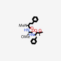 CN[C@@H](CCc1ccccc1)C(=O)N[C@@H](COC)C(=O)N[C@@H](Cc1ccccc1)C(=O)[C@@]1(C)CO1